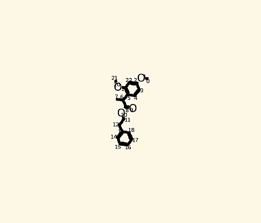 COc1ccc(C(C)C(=O)OCCc2ccccc2)c(OC)c1